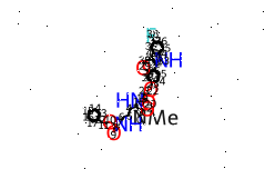 CNC(=O)C(CCCNC(=O)OCc1ccccc1)NC(=O)COc1ccc2c(c1)OCc1c-2[nH]c2ccc(F)cc12